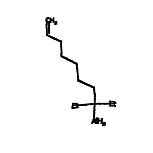 C=CCCCCC[C]([AlH2])(CC)CC